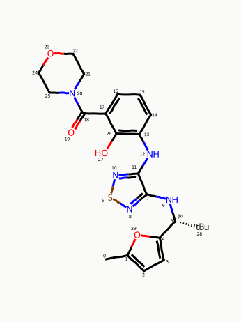 Cc1ccc([C@H](Nc2nsnc2Nc2cccc(C(=O)N3CCOCC3)c2O)C(C)(C)C)o1